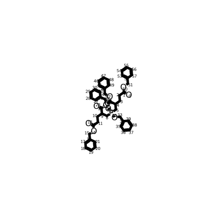 O=C(CCC(CP(=O)(CC(CCC(=O)OCc1ccccc1)C(=O)OCc1ccccc1)OCc1ccccc1)C(=O)OCc1ccccc1)OCc1ccccc1